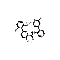 Nc1ccc(-c2c(F)cccc2F)nc1C(=O)Nc1cnccc1-c1cc(Cl)nc(C(F)(F)F)c1